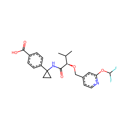 CC(C)[C@@H](OCc1ccnc(OC(F)F)c1)C(=O)NC1(c2ccc(C(=O)O)cc2)CC1